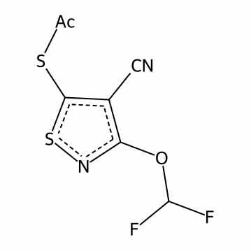 CC(=O)Sc1snc(OC(F)F)c1C#N